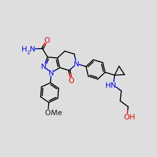 COc1ccc(-n2nc(C(N)=O)c3c2C(=O)N(c2ccc(C4(NCCCO)CC4)cc2)CC3)cc1